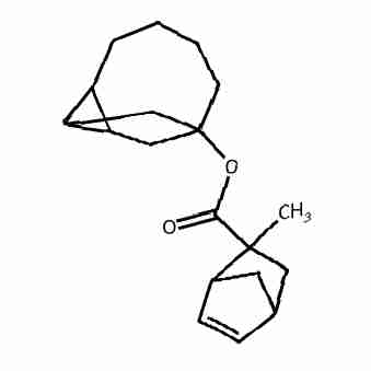 CC1(C(=O)OC23CCCCC4C(C2)C4C3)CC2C=CC1C2